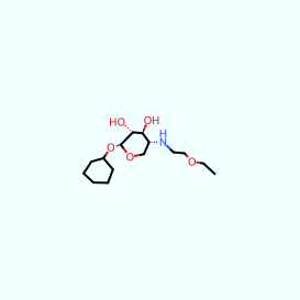 CCOCCN[C@@H]1CO[C@H](OC2CCCCC2)[C@H](O)[C@H]1O